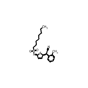 CCCCCCCCS(=O)(=O)/N=C1C=C/C(=C(/C#N)c2ccccc2C)S/1